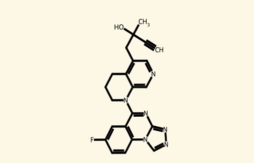 C#CC(C)(O)Cc1cncc2c1CCCN2c1nc2nncn2c2ccc(F)cc12